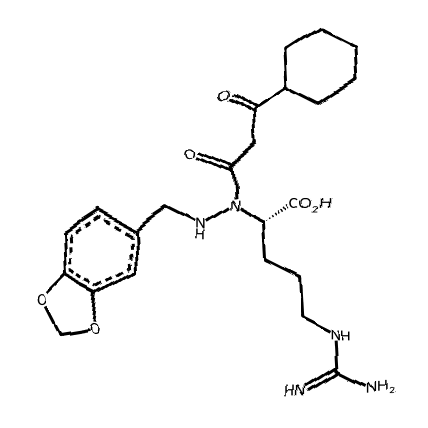 N=C(N)NCCC[C@@H](C(=O)O)N(NCc1ccc2c(c1)OCO2)C(=O)CC(=O)C1CCCCC1